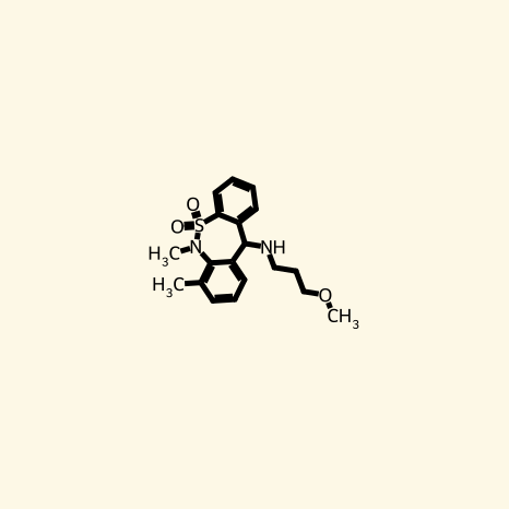 COCCCNC1c2ccccc2S(=O)(=O)N(C)c2c(C)cccc21